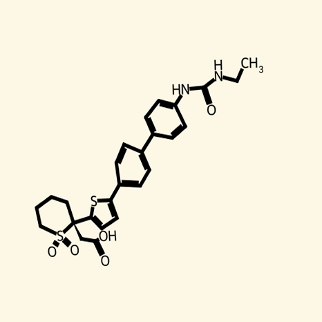 CCNC(=O)Nc1ccc(-c2ccc(-c3ccc([C@@]4(CC(=O)O)CCCCS4(=O)=O)s3)cc2)cc1